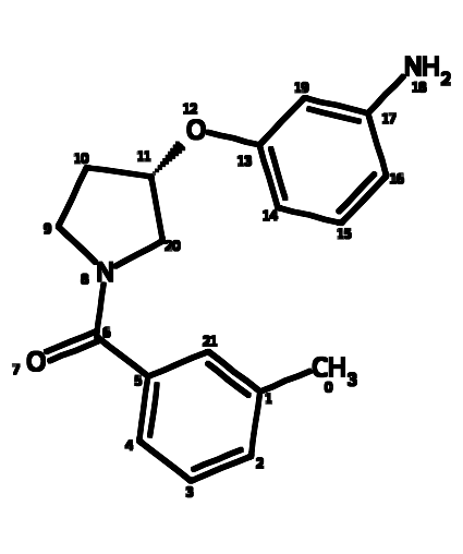 Cc1cccc(C(=O)N2CC[C@H](Oc3cccc(N)c3)C2)c1